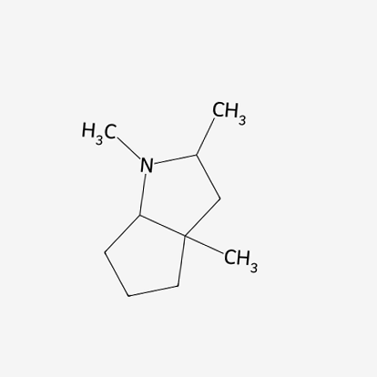 CC1CC2(C)CCCC2N1C